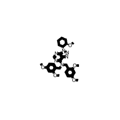 COc1ccc(CN(Cc2ccc(OC)cc2OC)c2ncnc3c2nnn3[C@@H]2CCCC[C@H]2OC)c(OC)c1